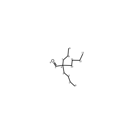 CCCCC(C=O)(CCC)CCCC